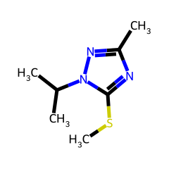 CSc1nc(C)nn1C(C)C